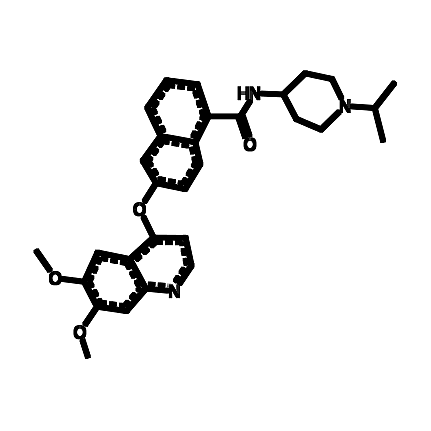 COc1cc2nccc(Oc3ccc4c(C(=O)NC5CCN(C(C)C)CC5)cccc4c3)c2cc1OC